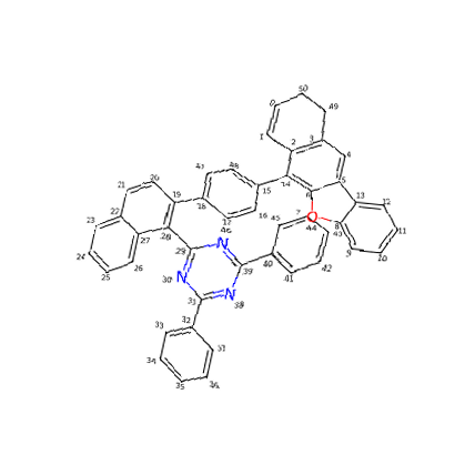 C1=Cc2c(cc3c(oc4ccccc43)c2-c2ccc(-c3ccc4ccccc4c3-c3nc(-c4ccccc4)nc(-c4ccccc4)n3)cc2)CC1